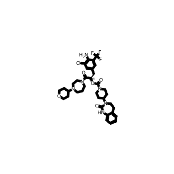 Nc1c(Cl)cc(C[C@@H](OC(=O)N2CCC(N3CCc4ccccc4NC3=O)CC2)C(=O)N2CCCN(C3CCOCC3)CC2)cc1C(F)(F)F